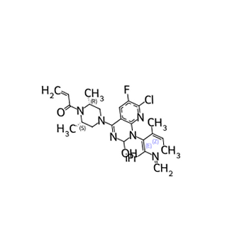 C=CC(=O)N1[C@H](C)CN(C2=NC(O)N(C(/C(C)=C\C)=C(/N=C)C(C)C)c3nc(Cl)c(F)cc32)C[C@@H]1C